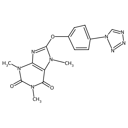 Cn1c(=O)c2c(nc(Oc3ccc(-n4cnnn4)cc3)n2C)n(C)c1=O